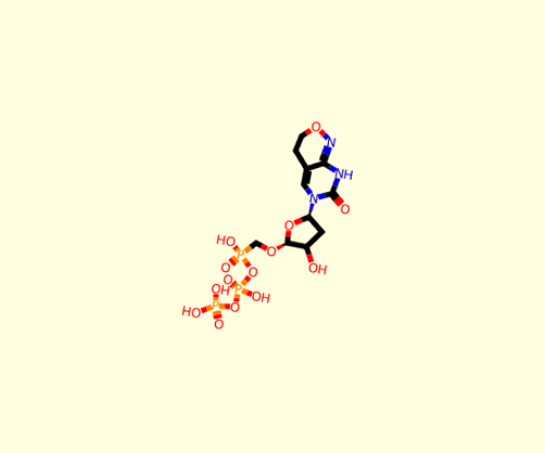 O=C1NC2=NOCCC2=CN1[C@H]1CC(O)[C@@H](OCP(=O)(O)OP(=O)(O)OP(=O)(O)O)O1